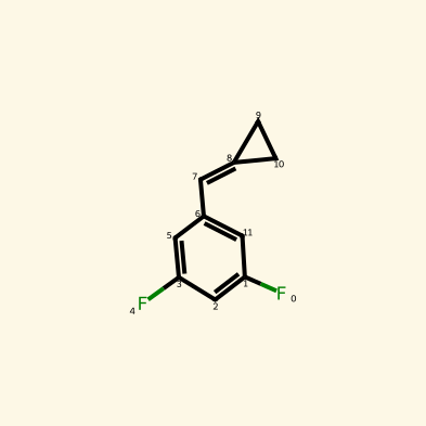 Fc1cc(F)cc(C=C2CC2)c1